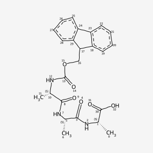 C[C@H](NC(=O)[C@H](C)NC(=O)[C@H](C)NC(=O)OCC1c2ccccc2-c2ccccc21)C(=O)O